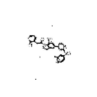 Cc1cc(Nc2nccc(-c3cc(C#N)c4c(c3)CCN4C(=O)Cc3cccnc3Cl)n2)ccn1